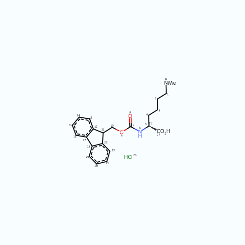 CNCCCC[C@H](NC(=O)OCC1c2ccccc2-c2ccccc21)C(=O)O.Cl